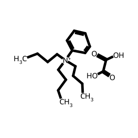 CCCC[N+](CCCC)(CCCC)c1ccccc1.O=C(O)C(=O)O